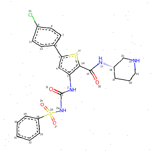 O=C(Nc1cc(-c2ccc(Cl)cc2)sc1C(=O)N[C@H]1CCCNC1)NS(=O)(=O)c1ccccc1